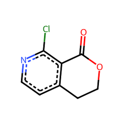 O=C1OCCc2ccnc(Cl)c21